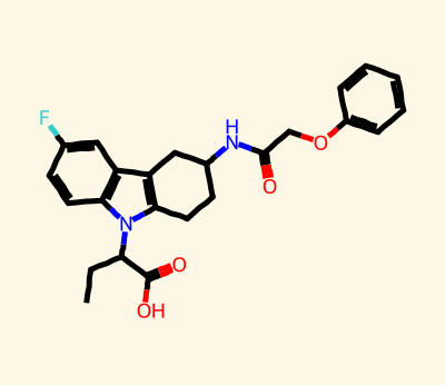 CCC(C(=O)O)n1c2c(c3cc(F)ccc31)CC(NC(=O)COc1ccccc1)CC2